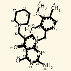 COc1c(C)cnc(Cn2cc(CN3CCCCC3)c(=O)c3c(Cl)nc(N)nc32)c1C